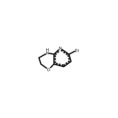 CCc1ccc2c(n1)NCCO2